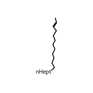 C/C=C/CCCCCCCCCCCCCCCC